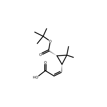 CC(C)(C)OC(=O)[C@H]1[C@@H](/C=C\C(=O)O)C1(C)C